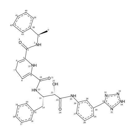 C[C@@H](NC(=O)C1=CCC=C(C(=O)N[C@@H](Cc2ccccc2)[C@H](O)C(=O)Nc2cccc(-c3nn[nH]n3)c2)N1)c1ccccc1